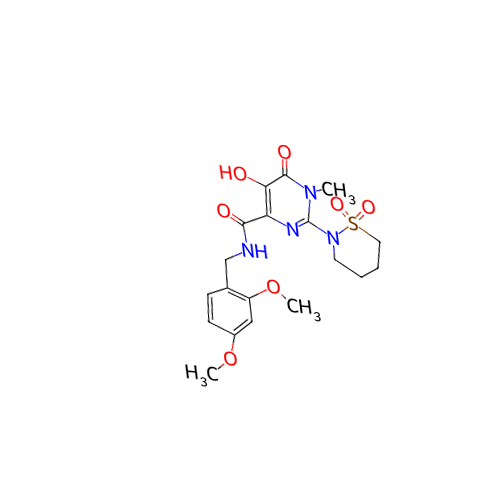 COc1ccc(CNC(=O)c2nc(N3CCCCS3(=O)=O)n(C)c(=O)c2O)c(OC)c1